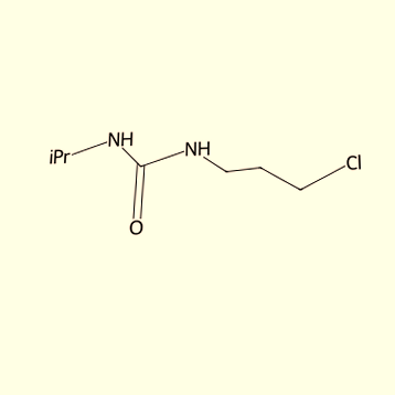 CC(C)NC(=O)NCCCCl